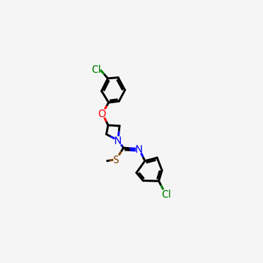 CS/C(=N\c1ccc(Cl)cc1)N1CC(Oc2cccc(Cl)c2)C1